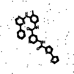 Cc1ccc(NC(=O)c2cncc(NC(=O)c3ccc(-c4cccs4)s3)c2)cc1Nc1nccc(-c2ccccc2)n1